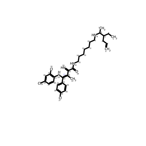 C=CCC(CC)C(C)NCCCCCCCNC(=O)C(=N)/C(C)=C(\Nc1ccc(Cl)cc1Cl)c1ccc(Cl)cc1